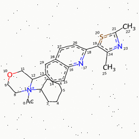 [CH2]C(=O)[N+]1(C2CCCCC2)CCOCC1c1ccc2nc(-c3sc(C)nc3C)ccc2c1